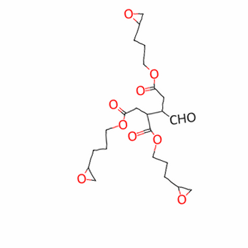 O=CC(CC(=O)OCCCC1CO1)C(CC(=O)OCCCC1CO1)C(=O)OCCCC1CO1